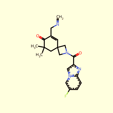 C=NCC1=CC2(CN(C(=O)c3cn4cc(F)ccc4n3)C2)CC(C)(C)C1=O